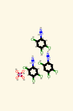 N#[N+]c1cc(Cl)c(Cl)cc1Cl.N#[N+]c1cc(Cl)c(Cl)cc1Cl.N#[N+]c1cc(Cl)c(Cl)cc1Cl.O=P([O-])([O-])[O-]